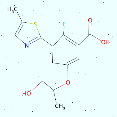 Cc1cnc(-c2cc(OC(C)CO)cc(C(=O)O)c2F)s1